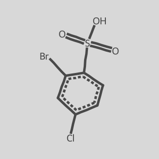 O=S(=O)(O)c1ccc(Cl)cc1Br